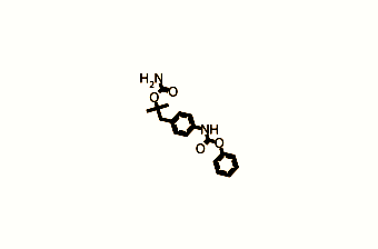 CC(C)(Cc1ccc(NC(=O)Oc2ccccc2)cc1)OC(N)=O